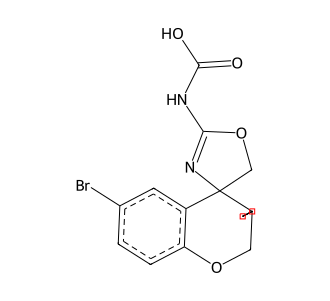 O=C(O)NC1=NC2(CO1)c1cc(Br)ccc1OCC21CCC1